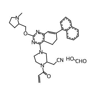 C=CC(=O)N1CCN(c2nc(OCC3CCCN3C)nc3c2CCC(c2cccc4ccccc24)=C3)CC1CC#N.O=CO